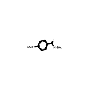 COc1ccc(C(=S)NC(C)=O)cc1